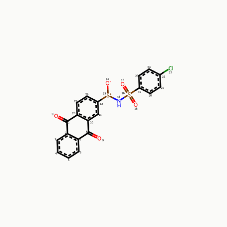 O=C1c2ccccc2C(=O)c2cc([S+]([O-])NS(=O)(=O)c3ccc(Cl)cc3)ccc21